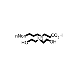 CCCCCCCCCCCCNCCC(=O)O.OCCNCCO